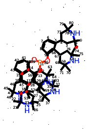 CC1(C)CC(c2cccc(OP(Oc3cccc(C4CC(C)(C)NC(C)(C)C4)c3C3CC(C)(C)NC(C)(C)C3)Oc3cccc(C4CC(C)(C)NC(C)(C)C4)c3C3CC(C)(C)NC(C)(C)C3)c2C2CC(C)(C)NC(C)(C)C2)CC(C)(C)N1